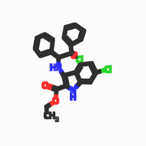 CCOC(=O)c1[nH]c2cc(Cl)cc(Cl)c2c1NC(C(=O)c1ccccc1)c1ccccc1